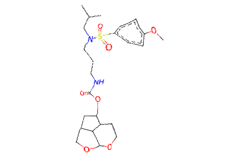 COc1ccc(S(=O)(=O)N(CCCNC(=O)OC2CC3COC4OCCC2C34)CC(C)C)cc1